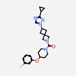 O=C(N1CCC(Oc2cccc(F)c2)CC1)N1CC2(CC(n3cnc(C4CC4)n3)C2)C1